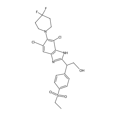 CCS(=O)(=O)c1ccc(C(CO)c2nc3cc(Cl)c(N4CCC(F)(F)CC4)c(Cl)c3[nH]2)cc1